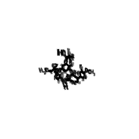 C=CC(=O)Nc1ccc(F)c(Nc2nc(Nc3cnn(C)c3)ncc2-c2cnc(OC)c(F)c2)c1.O=C(O)C(F)(F)F